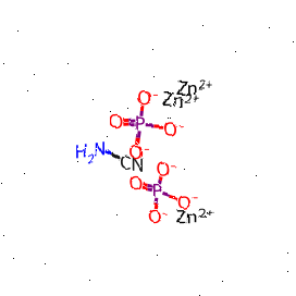 N#CN.O=P([O-])([O-])[O-].O=P([O-])([O-])[O-].[Zn+2].[Zn+2].[Zn+2]